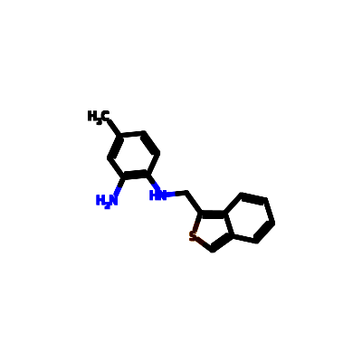 Cc1ccc(NCc2scc3ccccc23)c(N)c1